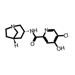 O=C(N[C@@H]1C[C@@H]2CCN(C2)C1)c1cc(O)c(Cl)cn1